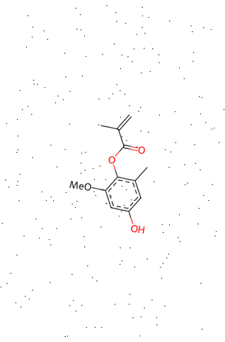 C=C(C)C(=O)Oc1c(C)cc(O)cc1OC